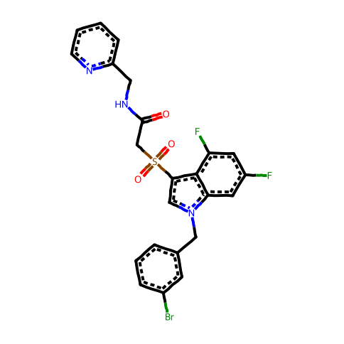 O=C(CS(=O)(=O)c1cn(Cc2cccc(Br)c2)c2cc(F)cc(F)c12)NCc1ccccn1